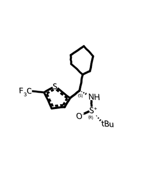 CC(C)(C)[S@+]([O-])N[C@H](c1ccc(C(F)(F)F)s1)C1CCCCC1